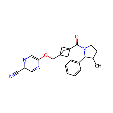 CC1CCN(C(=O)C23CC(COc4cnc(C#N)cn4)(C2)C3)C1c1ccccc1